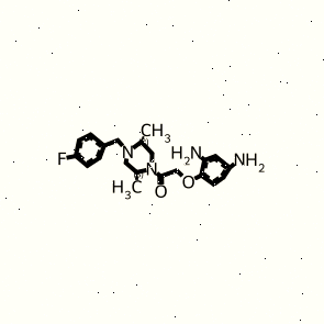 C[C@@H]1CN(C(=O)COc2ccc(N)cc2N)[C@@H](C)CN1Cc1ccc(F)cc1